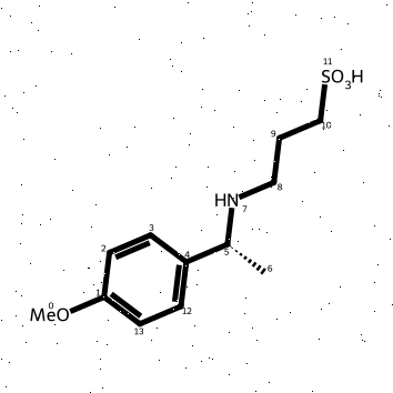 COc1ccc([C@@H](C)NCCCS(=O)(=O)O)cc1